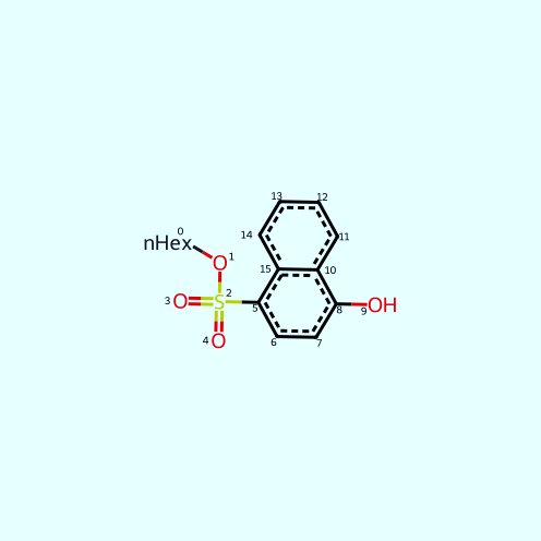 CCCCCCOS(=O)(=O)c1ccc(O)c2ccccc12